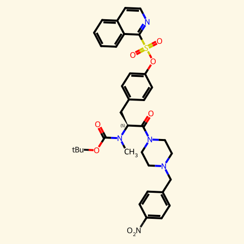 CN(C(=O)OC(C)(C)C)[C@@H](Cc1ccc(OS(=O)(=O)c2nccc3ccccc23)cc1)C(=O)N1CCN(Cc2ccc([N+](=O)[O-])cc2)CC1